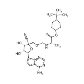 C[C@H](NCOC[C@@]1(C#N)O[C@@H](c2ccc3c(N)ncnn23)[C@H](O)[C@@H]1O)C(=O)OC1CCC(C(C)(C)C)CC1